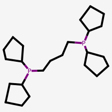 C1CCC(P(CCCCP(C2CCCC2)C2CCCC2)C2CCCC2)C1